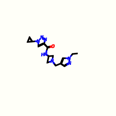 CCn1cc(CN2CC(NC(=O)c3cn(C4CC4)nn3)C2)cn1